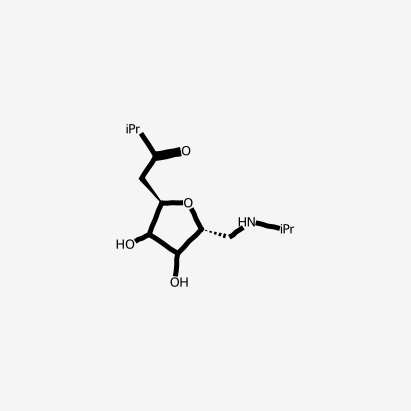 CC(C)NC[C@H]1O[C@H](CC(=O)C(C)C)C(O)C1O